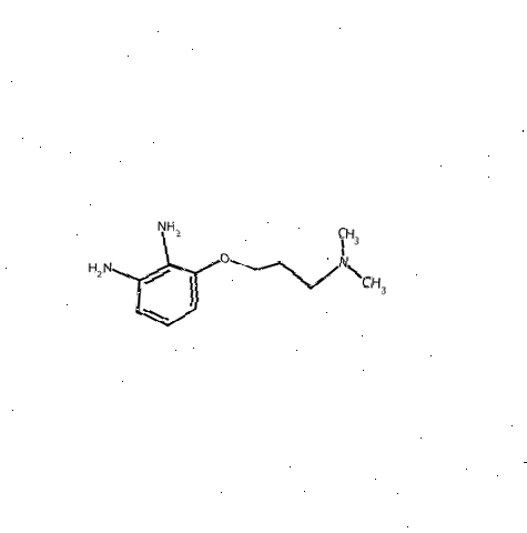 CN(C)CCCOc1cccc(N)c1N